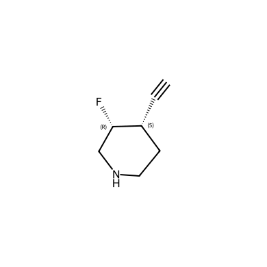 C#C[C@@H]1CCNC[C@@H]1F